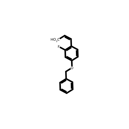 O=C(O)/C=C\c1ccc(OCc2ccccc2)cc1F